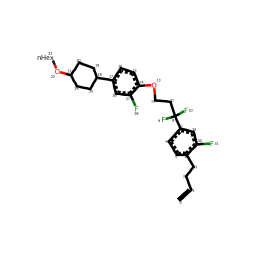 C=CCCc1ccc(C(F)(F)CCOc2ccc(C3CCC(OCCCCCC)CC3)cc2F)cc1F